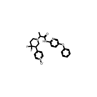 CC(C(=O)Nc1ccc(Oc2ccccc2)cn1)N1CCC(F)(F)C(c2cc[n+]([O-])cc2)C1